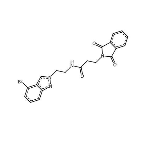 O=C(CCN1C(=O)c2ccccc2C1=O)NCCn1cc2c(Br)cccc2n1